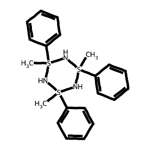 CS1(c2ccccc2)NS(C)(c2ccccc2)NS(C)(c2ccccc2)N1